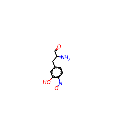 NC(C=O)Cc1ccc(N=O)c(O)c1